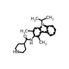 Cc1cc2c(c(C)c1NC(=O)C1CCNCC1)c1ccccc1n2C(C)C